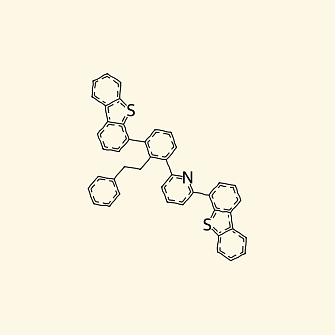 c1ccc(CCc2c(-c3cccc(-c4cccc5c4sc4ccccc45)n3)cccc2-c2cccc3c2sc2ccccc23)cc1